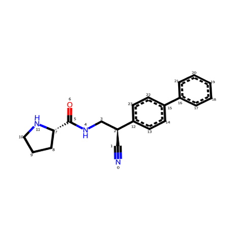 N#C[C@@H](CNC(=O)[C@@H]1CCCN1)c1ccc(-c2ccccc2)cc1